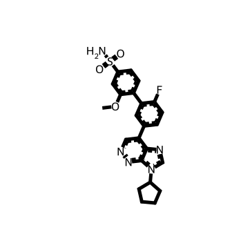 COc1cc(S(N)(=O)=O)ccc1-c1cc(-c2cnnc3c2ncn3C2CCCC2)ccc1F